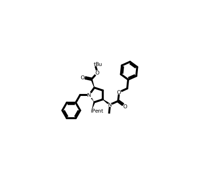 CCC[C@H](C)[C@H]1[C@H](N(C)C(=O)OCc2ccccc2)C[C@H](C(=O)OC(C)(C)C)N1Cc1ccccc1